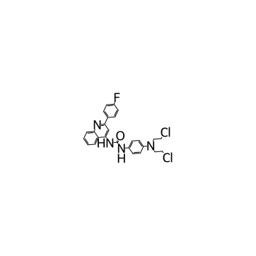 O=C(Nc1ccc(N(CCCl)CCCl)cc1)Nc1cc(-c2ccc(F)cc2)nc2ccccc12